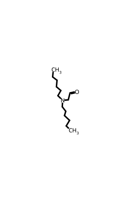 CCCCCCN(CC=O)CCCCCC